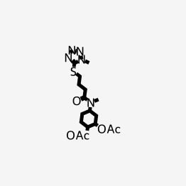 CC(=O)OC1CCC(N(C)C(=O)CCCSc2nnnn2C)CC1OC(C)=O